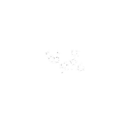 COc1cc2cc(-c3cc(OC)c(OC)c(-c4cc(-c5ccccc5)cc(-c5ccccc5)c4)c3)[n+]3c(c2cc1OC)N(C)CC3